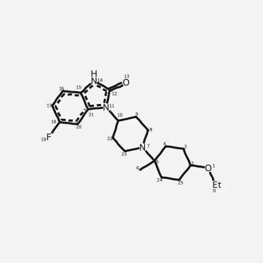 CCOC1CCC(C)(N2CCC(n3c(=O)[nH]c4ccc(F)cc43)CC2)CC1